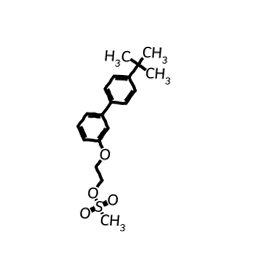 CC(C)(C)c1ccc(-c2cccc(OCCOS(C)(=O)=O)c2)cc1